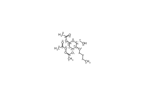 CCCCO[C@H]1[C@H](OC(C)=O)[C@H](OC(C)=O)[C@@H](OC(C)=O)O[C@@H]1CO